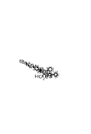 CC(C)(C)N1CCN(c2ccc(S(=O)(=O)N3CC(=O)N(c4cc(-c5ccccc5)sc4C(=O)O)C(C4CCCCC4)C3)cn2)CC1